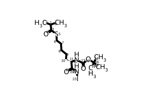 CC(C)C(=O)SCCCCC[C@H](NC(=O)OC(C)(C)C)C(=O)NI